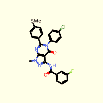 CSc1ccc(-c2nc3c(c(NC(=O)c4cccc(F)c4)nn3C)c(=O)n2-c2ccc(Cl)cc2)cc1